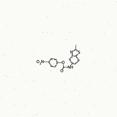 Cc1nc2cc(NC(=O)Oc3ccc([N+](=O)[O-])cc3)ccc2s1